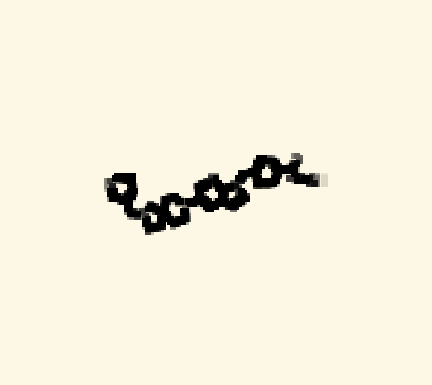 O=C(NO)c1ccc(Cn2ccc3cc(N4CCC5(CCN(Cc6cccnc6)C5)CC4)cnc32)cc1